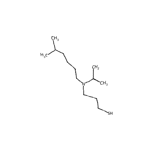 CC(C)CCCCN(CCCS)C(C)C